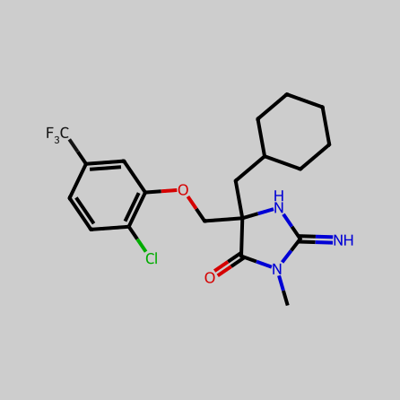 CN1C(=N)NC(COc2cc(C(F)(F)F)ccc2Cl)(CC2CCCCC2)C1=O